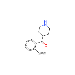 CSc1ccccc1C(=O)C1CCNCC1